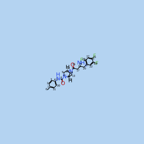 Cc1ccc(NC(=O)N2C[C@@H]3C[C@H]2CN3C(=O)C[C@H](N)Cc2cc(F)c(F)cc2F)cc1